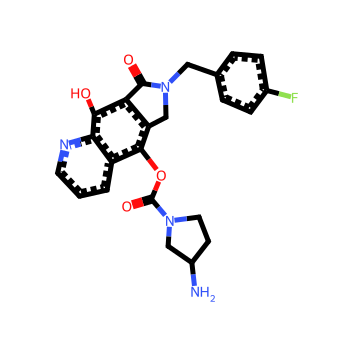 NC1CCN(C(=O)Oc2c3c(c(O)c4ncccc24)C(=O)N(Cc2ccc(F)cc2)C3)C1